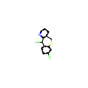 Clc1ccc2c(c1)SCc1cccnc1C2Cl